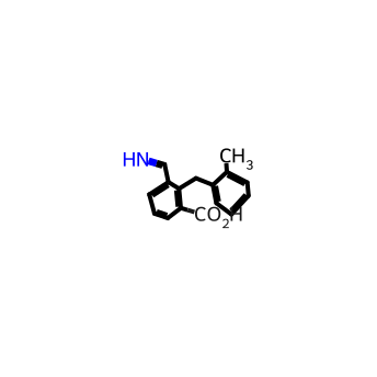 Cc1ccccc1Cc1c(C=N)cccc1C(=O)O